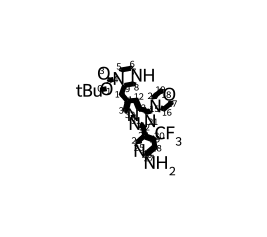 CC(C)(C)OC(=O)N1CCNCC1Cc1cc2c(N3CCOCC3)nc(-c3cnc(N)cc3C(F)(F)F)nn2c1